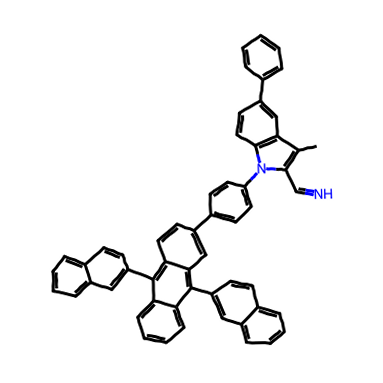 Cc1c(C=N)n(-c2ccc(-c3ccc4c(-c5ccc6ccccc6c5)c5ccccc5c(-c5ccc6ccccc6c5)c4c3)cc2)c2ccc(-c3ccccc3)cc12